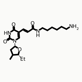 CC[C@H]1O[C@@H](n2cc(/C=C/C(=O)NCCCCCCN)c(=O)[nH]c2=O)CC1C